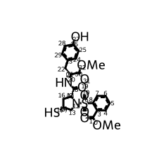 COC(=O)c1ccccc1S(=O)(=O)N1C[C@@H](S)C[C@H]1C(=O)N[C@@H](Cc1ccc(O)cc1)C(=O)OC